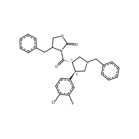 O=C1OCC(Cc2ccccc2)N1C(=O)[C@@H]1CN(Cc2ccccc2)C[C@H]1c1ccc(Cl)c(F)c1